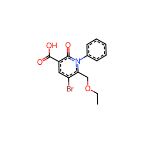 CCOCc1c(Br)cc(C(=O)O)c(=O)n1-c1ccccc1